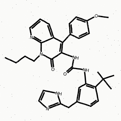 CCCCn1c(=O)c(NC(=O)Nc2cc(Cc3ncc[nH]3)ccc2C(C)(C)C)c(-c2ccc(OC)cc2)c2cccnc21